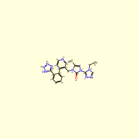 CCCc1cn(-c2nncn2CC(C)C)c(=O)n1Cc1cnccc1-c1ccccc1-c1nnn[nH]1